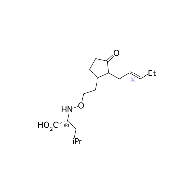 CC/C=C/CC1C(=O)CCC1CCON[C@H](CC(C)C)C(=O)O